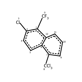 FC(F)(F)c1c(Cl)ccc2c(C(Cl)(Cl)Cl)cccc12